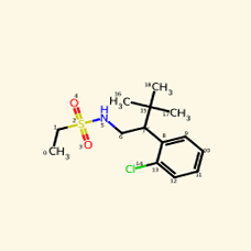 CCS(=O)(=O)NC[C](c1ccccc1Cl)C(C)(C)C